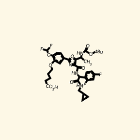 CC(NC(=O)OC(C)(C)C)c1oc(-c2ccc(OC(F)F)c(OCCCCC(=O)O)c2)nc1C(=O)NC(C(=O)NCC1CC1)c1ccc(F)cc1F